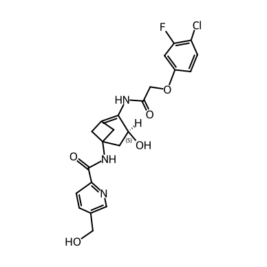 O=C(COc1ccc(Cl)c(F)c1)NC1=C2CC(NC(=O)c3ccc(CO)cn3)(C2)C[C@@H]1O